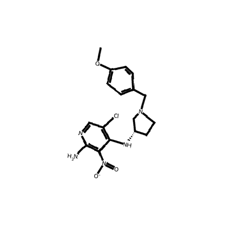 COc1ccc(CN2CC[C@H](Nc3c(Cl)cnc(N)c3[N+](=O)[O-])C2)cc1